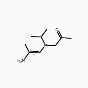 CC(=O)CN(/C=C(\C)N)C(C)C